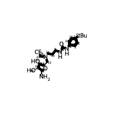 CC(C)(C)c1ccc(NC(=O)NCCCN(C[C@H]2O[C@@H](N)[C@H](O)[C@@H]2O)CC(F)(F)F)cc1